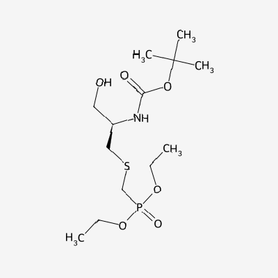 CCOP(=O)(CSC[C@@H](CO)NC(=O)OC(C)(C)C)OCC